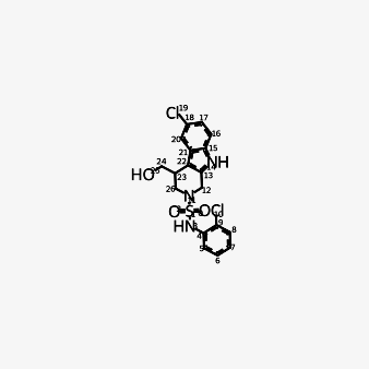 O=S(=O)(Nc1ccccc1Cl)N1Cc2[nH]c3ccc(Cl)cc3c2C(CO)C1